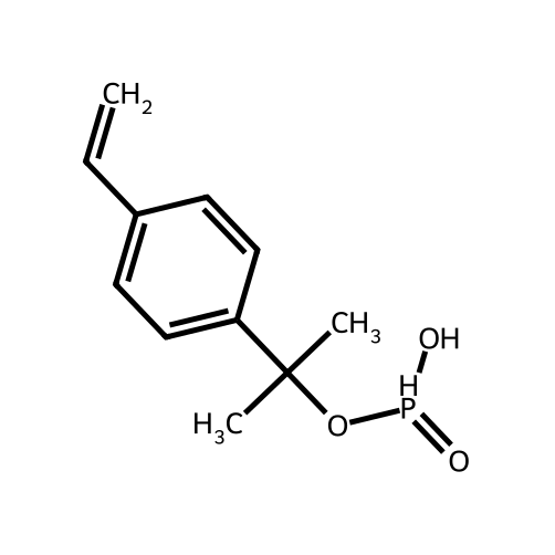 C=Cc1ccc(C(C)(C)O[PH](=O)O)cc1